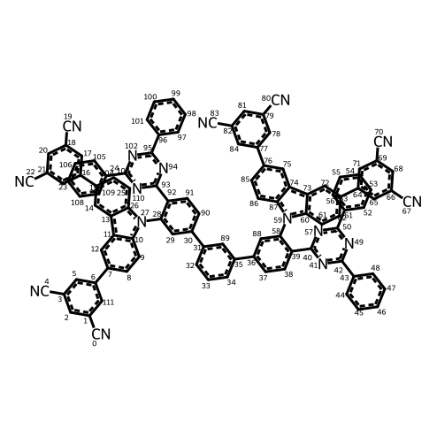 N#Cc1cc(C#N)cc(-c2ccc3c(c2)c2cc(-c4cc(C#N)cc(C#N)c4)ccc2n3-c2cc(-c3cccc(-c4ccc(-c5nc(-c6ccccc6)nc(-c6ccccc6)n5)c(-n5c6ccc(-c7cc(C#N)cc(C#N)c7)cc6c6cc(-c7cc(C#N)cc(C#N)c7)ccc65)c4)c3)ccc2-c2nc(-c3ccccc3)nc(-c3ccccc3)n2)c1